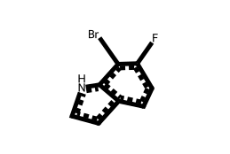 Fc1ccc2cc[nH]c2c1Br